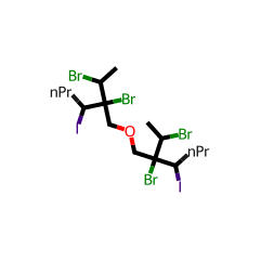 CCCC(I)C(Br)(COCC(Br)(C(C)Br)C(I)CCC)C(C)Br